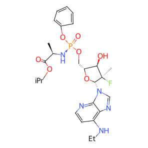 CCNc1ccnc2c1ncn2[C@@H]1O[C@H](CO[P@](=O)(N[C@H](C)C(=O)OC(C)C)Oc2ccccc2)[C@@H](O)[C@@]1(C)F